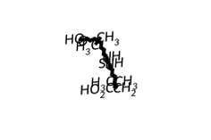 C=C(C(=O)O)C(C)(C)CCCCNC(=S)NCCCCC(C)(C)CCCOO